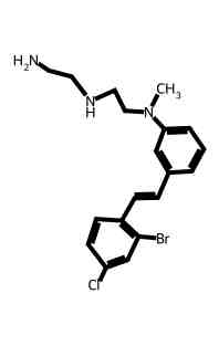 CN(CCNCCN)c1cccc(C=Cc2ccc(Cl)cc2Br)c1